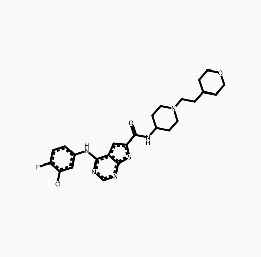 O=C(NC1CCN(CCC2CCOCC2)CC1)c1cc2c(Nc3ccc(F)c(Cl)c3)ncnc2s1